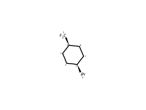 CC(C)[C@H]1CC[C@@H](C(F)(F)F)CC1